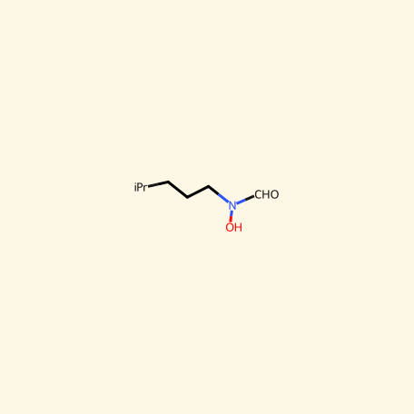 CC(C)CCCN(O)C=O